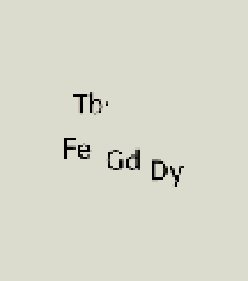 [Dy].[Fe].[Gd].[Tb]